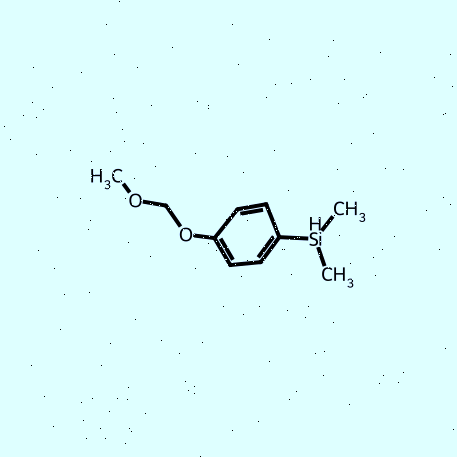 COCOc1ccc([SiH](C)C)cc1